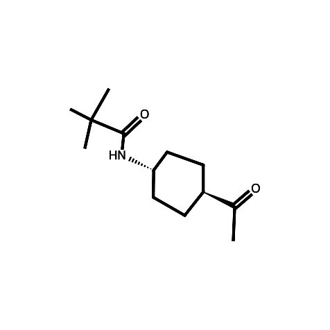 CC(=O)[C@H]1CC[C@H](NC(=O)C(C)(C)C)CC1